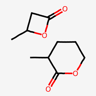 CC1CC(=O)O1.CC1CCCOC1=O